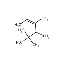 CC=C(C)C(C)C(C)(C)C